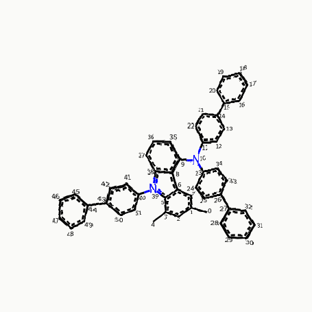 Cc1cc(C)c2c(c1)c1c(N(c3ccc(-c4ccccc4)cc3)c3ccc(-c4ccccc4)cc3)cccc1n2-c1ccc(-c2ccccc2)cc1